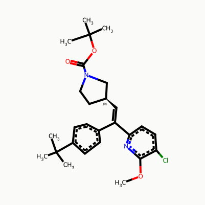 COc1nc(C(=C[C@H]2CCN(C(=O)OC(C)(C)C)C2)c2ccc(C(C)(C)C)cc2)ccc1Cl